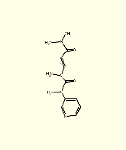 CN(C)C(=O)/C=C/N(N)C(=O)N(N)c1cccnc1